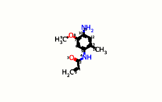 C=CC(=O)Nc1cc(OC)c(N)cc1C